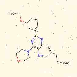 COCOc1cccc(-c2nc(N3CCOCC3)c3ncc(CCC=O)cc3n2)c1